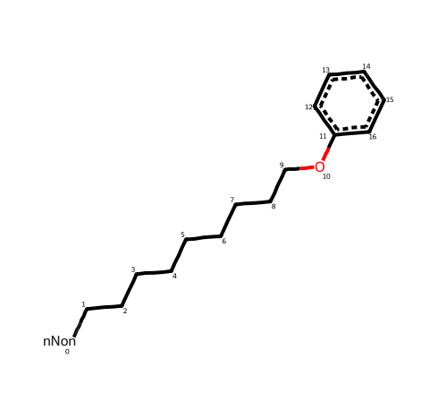 CCCCCCCCCCCCCCCCCCOc1[c]cccc1